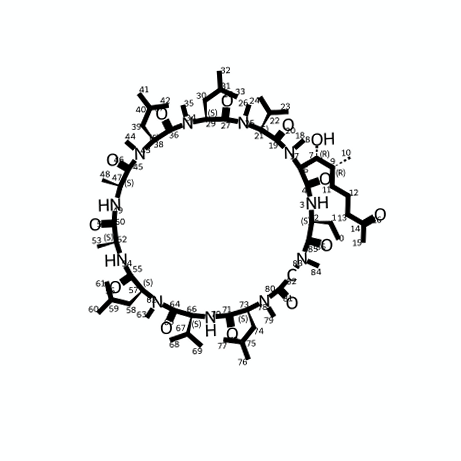 CC[C@@H]1NC(=O)C([C@H](O)[C@H](C)CCCC(C)=O)N(C)C(=O)[C@H](C(C)C)N(C)C(=O)[C@H](CC(C)C)N(C)C(=O)[C@H](CC(C)C)N(C)C(=O)[C@H](C)NC(=O)[C@H](C)NC(=O)[C@H](CC(C)C)N(C)C(=O)[C@H](C(C)C)NC(=O)[C@H](CC(C)C)N(C)C(=O)CN(C)C1=O